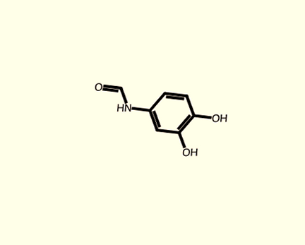 O=CNc1ccc(O)c(O)c1